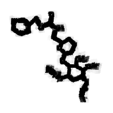 CC(=O)OC1C(N=[N+]=[N-])CC(N=[N+]=[N-])C(OC2CCCC(CNC(=O)OCc3ccccc3)O2)C1OC(C)=O